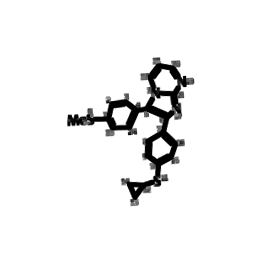 CSc1ccc(-c2c(-c3ccc(SC4CC4)cc3)nc3ncccn23)cc1